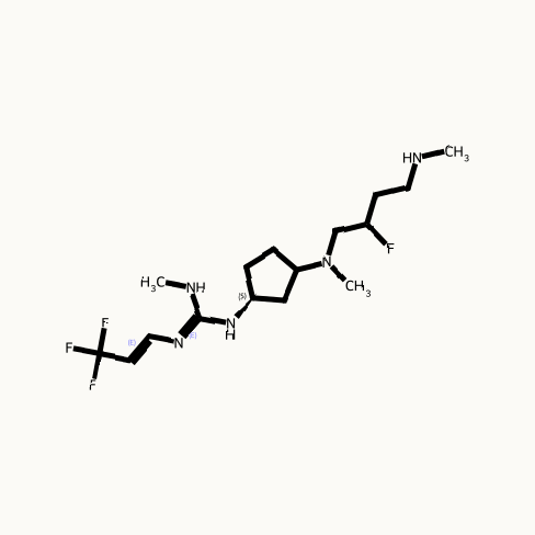 CNCCC(F)CN(C)C1CC[C@H](N/C(=N/C=C/C(F)(F)F)NC)C1